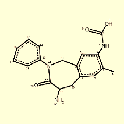 Cc1cc2c(cc1NC(=O)O)CN(c1ccccc1)C(=O)C(N)C2